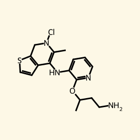 CC1=C(Nc2cccnc2OC(C)CCN)c2ccsc2CN1Cl